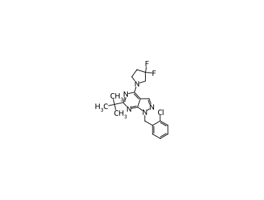 CC(C)(C)c1nc(N2CCC(F)(F)C2)c2cnn(Cc3ccccc3Cl)c2n1